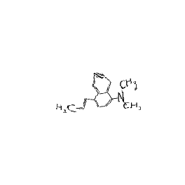 C/C=C/c1ccc(N(C)C)c2ccccc12